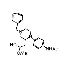 COC(O)CC1CN(Cc2ccccc2)CCN1c1ccc(NC(C)=O)cc1